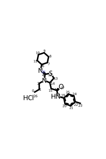 CCCN1/C(=N/C2CCCCC2)SCC1CC(=O)Nc1ccc(C)cc1.Cl